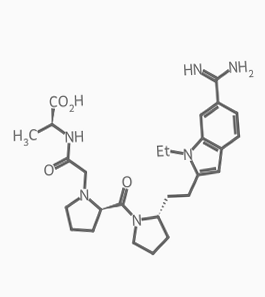 CCn1c(CC[C@@H]2CCCN2C(=O)[C@H]2CCCN2CC(=O)N[C@@H](C)C(=O)O)cc2ccc(C(=N)N)cc21